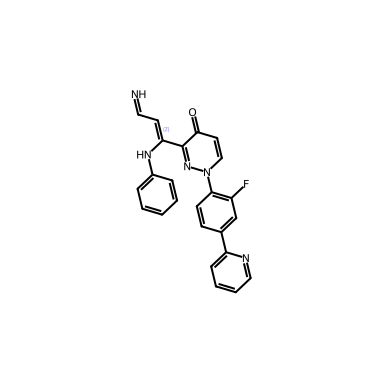 N=C/C=C(\Nc1ccccc1)c1nn(-c2ccc(-c3ccccn3)cc2F)ccc1=O